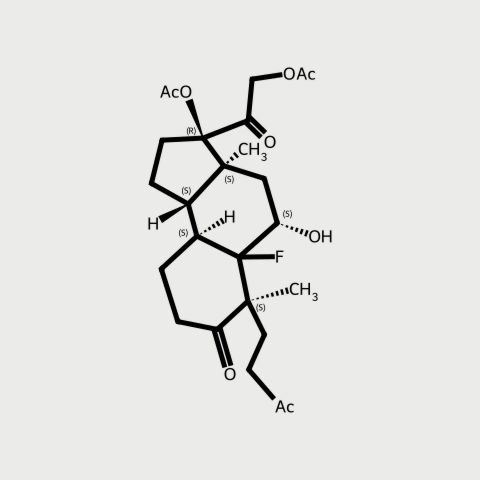 CC(=O)CC[C@@]1(C)C(=O)CC[C@H]2[C@@H]3CC[C@](OC(C)=O)(C(=O)COC(C)=O)[C@@]3(C)C[C@H](O)C21F